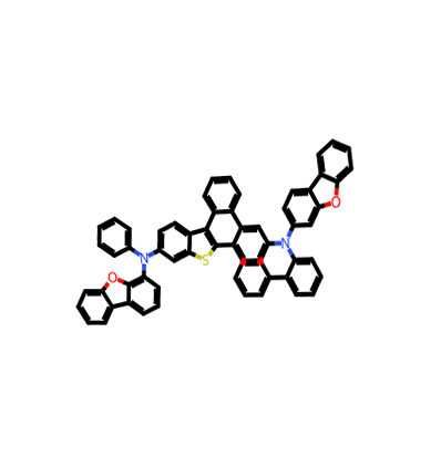 c1ccc(-c2ccccc2N(c2ccc3c(c2)oc2ccccc23)c2ccc3c(c2)c2ccccc2c2c4ccc(N(c5ccccc5)c5cccc6c5oc5ccccc56)cc4sc32)cc1